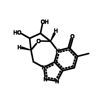 Cc1cc2nnn3c2n(c1=O)[C@@H]1O[C@H](C3)C(O)C1O